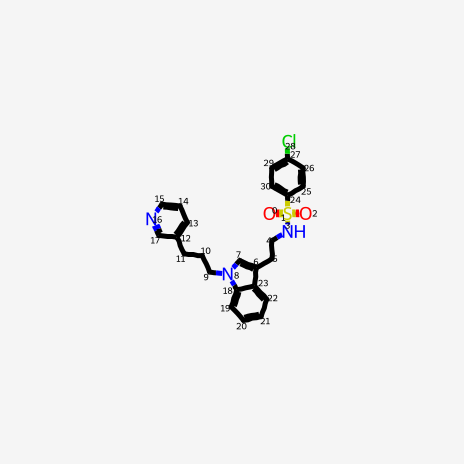 O=S(=O)(NCCc1cn(CCCc2cccnc2)c2ccccc12)c1ccc(Cl)cc1